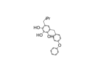 CC(C)Cc1cc(Cc2ccc(Oc3ccccc3)cc2)c(O)c(O)c1O